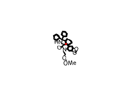 COCOCCN1C(=O)[C@@H](NC(c2ccccc2)(c2ccccc2)c2ccccc2)Cc2cc3c(cc21)OCO3